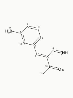 Bc1cccc(/C=C(\C=N)C(C)=O)n1